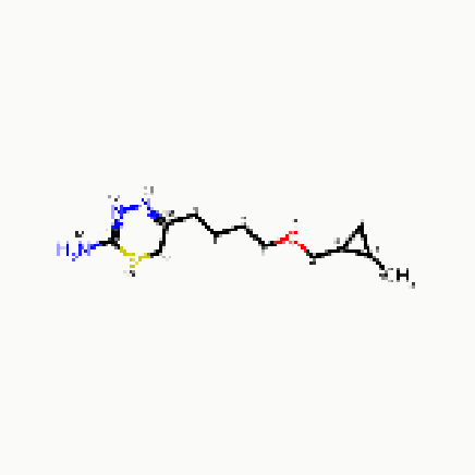 CC1CC1COCCCCC1=NN=C(N)SC1